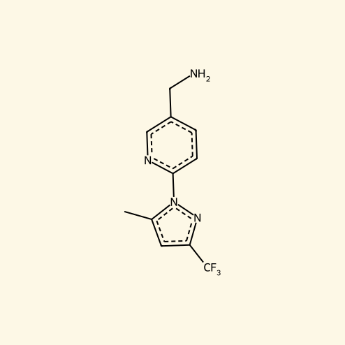 Cc1cc(C(F)(F)F)nn1-c1ccc(CN)cn1